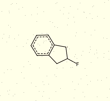 FC1[C]c2ccccc2C1